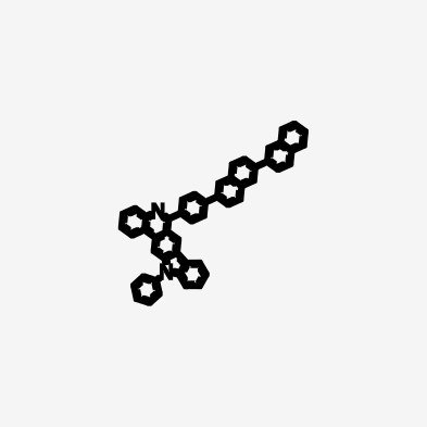 c1ccc(-n2c3ccccc3c3cc4c(-c5ccc(-c6ccc7cc(-c8ccc9ccccc9c8)ccc7c6)cc5)nc5ccccc5c4cc32)cc1